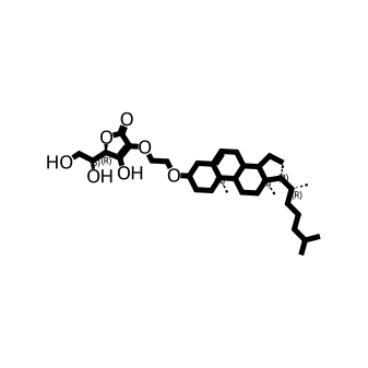 CC(C)CCC[C@@H](C)[C@H]1CCC2C3CC=C4CC(OCCOC5=C(O)[C@@H]([C@@H](O)CO)OC5=O)CC[C@]4(C)C3CC[C@@]21C